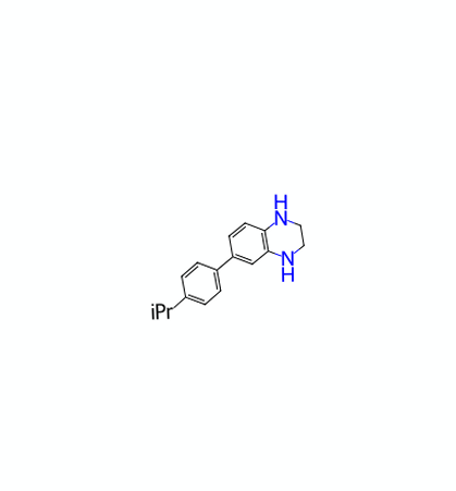 CC(C)c1ccc(-c2ccc3c(c2)NCCN3)cc1